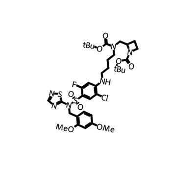 COc1ccc(CN(c2ncns2)S(=O)(=O)c2cc(Cl)c(NCCCCN(CC3CCN3C(=O)OC(C)(C)C)C(=O)OC(C)(C)C)cc2F)c(OC)c1